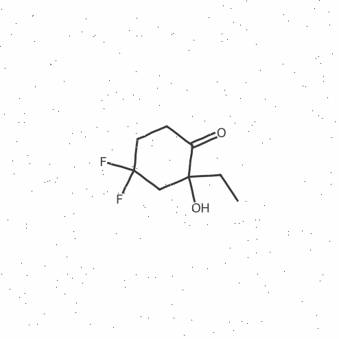 CCC1(O)CC(F)(F)CCC1=O